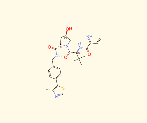 C=CC(=N)C(=O)N[C@H](C(=O)N1C[C@H](O)C[C@H]1C(=O)NCc1ccc(-c2scnc2C)cc1)C(C)(C)C